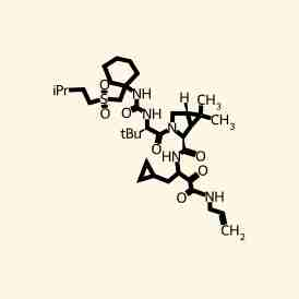 C=CCNC(=O)C(=O)C(CC1CC1)NC(=O)[C@@H]1C2[C@H](CN1C(=O)[C@@H](NC(=O)NC1(CS(=O)(=O)CCC(C)C)CCCCC1)C(C)(C)C)C2(C)C